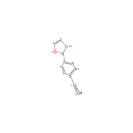 C#Cc1ccc(C2OC=CO2)cc1